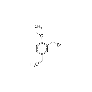 C=Cc1ccc(OCC)c(CBr)c1